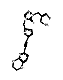 NC/C(=C\F)Cn1ncn(Cc2ccc(C#Cc3ccc4c(n3)OCCN4)s2)c1=O